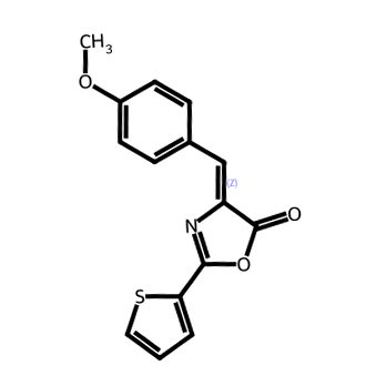 COc1ccc(/C=C2\N=C(c3cccs3)OC2=O)cc1